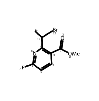 COC(=O)c1ccc(F)nc1C(C)Br